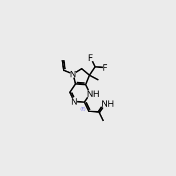 C=CN1CC(C)(C(F)F)C2=C1C=N/C(=C/C(C)=N)N2